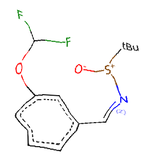 CC(C)(C)[S+]([O-])/N=C\c1cccc(OC(F)F)c1